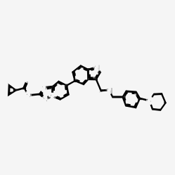 O=C(NCc1ccc(N2CCCCC2)cc1)c1c[nH]c2ccc(-c3ccn4nc(NC(=O)C5CC5)nc4c3)cc12